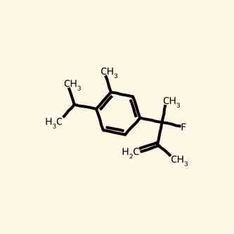 C=C(C)C(C)(F)c1ccc(C(C)C)c(C)c1